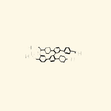 CCc1ccc(-c2ccc(C3CCC(C)CC3)c(-c3cc(-c4ccc(CC)cc4)ccc3C3CCC(C(N)CC)CC3)c2)cc1